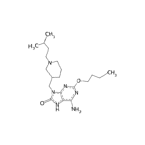 CCCCOc1nc(N)c2[nH]c(=O)n(CC3CCCN(CCC(C)C)C3)c2n1